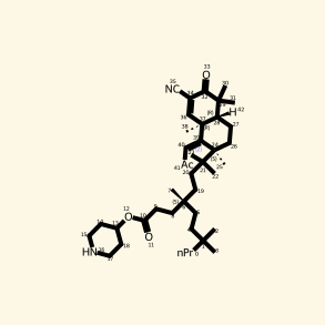 CCCC(C)(C)CC[C@](C)(CCC(=O)OC1CCNCC1)CCC(C)(C)[C@]1(C)CC[C@H]2C(C)(C)C(=O)C(C#N)=C[C@]2(C)/C1=C/C(C)=O